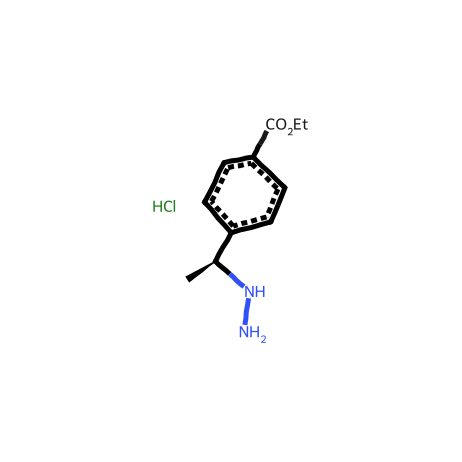 CCOC(=O)c1ccc([C@H](C)NN)cc1.Cl